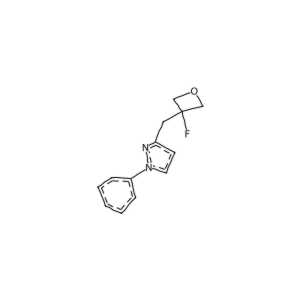 FC1(Cc2ccn(-c3ccccc3)n2)COC1